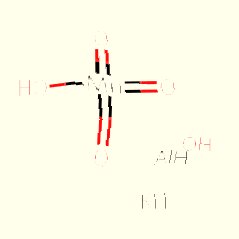 O.[AlH3].[KH].[O]=[Mn](=[O])(=[O])[OH]